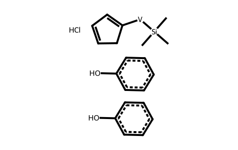 C[Si](C)(C)[V][C]1=CC=CC1.Cl.Oc1ccccc1.Oc1ccccc1